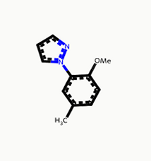 COc1ccc(C)cc1-n1cccn1